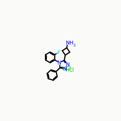 Cl.Cl.NC1CC(c2nnc(-c3ccccc3)n2-c2ccccc2F)C1